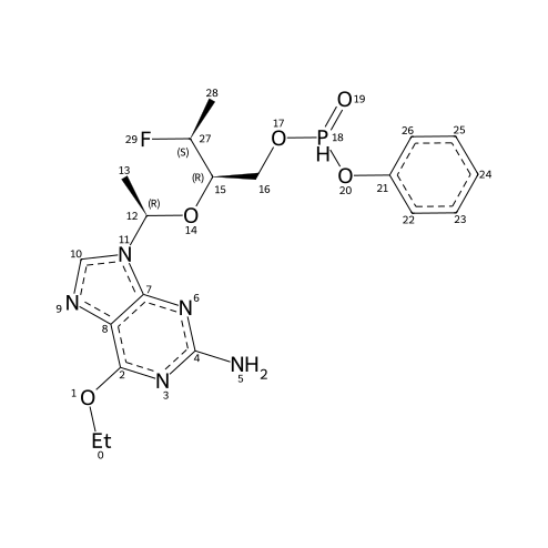 CCOc1nc(N)nc2c1ncn2[C@@H](C)O[C@H](CO[PH](=O)Oc1ccccc1)[C@H](C)F